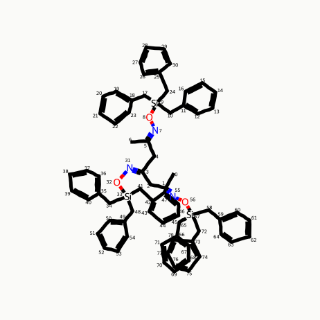 C/C(CC(C/C(C)=N/O[Si](Cc1ccccc1)(Cc1ccccc1)Cc1ccccc1)=NO[Si](Cc1ccccc1)(Cc1ccccc1)Cc1ccccc1)=N\O[Si](Cc1ccccc1)(Cc1ccccc1)Cc1ccccc1